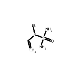 C=CN(CC)P(N)(N)=O